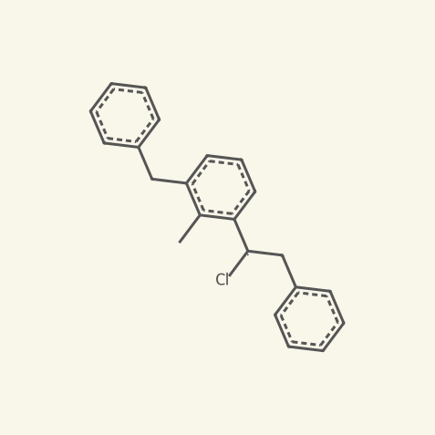 Cc1c(Cc2ccccc2)cccc1[C](Cl)Cc1ccccc1